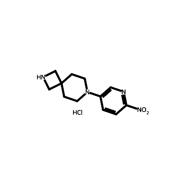 Cl.O=[N+]([O-])c1ccc(N2CCC3(CC2)CNC3)cn1